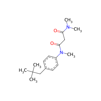 CN(C)C(=O)CC(=O)N(C)c1ccc(CC(C)(C)C)cc1